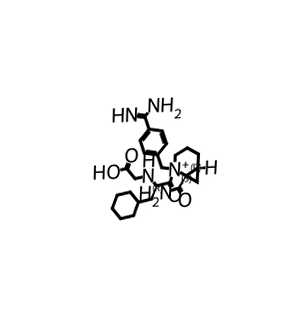 N=C(N)c1ccc(C[N+]2(C(=O)[C@@H](CC3CCCCC3)NCC(=O)O)CCC[C@@H]3C[C@@]32C(N)=O)cc1